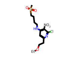 CCOCCc1cc(NCCCCS(C)(=O)=O)c([N+](=O)[O-])c(Cl)n1